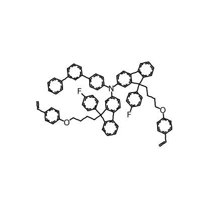 C=Cc1ccc(OCCCCC2(c3ccc(F)cc3)c3ccccc3-c3ccc(N(c4ccc(-c5cccc(-c6ccccc6)c5)cc4)c4ccc5c(c4)C(CCCCOc4ccc(C=C)cc4)(c4ccc(F)cc4)c4ccccc4-5)cc32)cc1